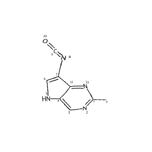 Cc1ncc2[nH]cc(N=C=O)c2n1